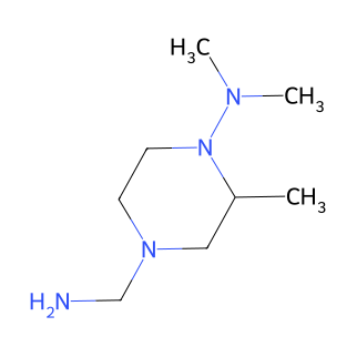 CC1CN(CN)CCN1N(C)C